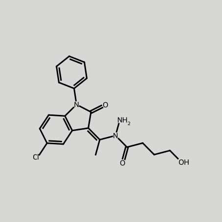 C/C(=C1/C(=O)N(c2ccccc2)c2ccc(Cl)cc21)N(N)C(=O)CCCO